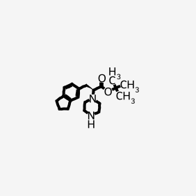 CC(C)(C)OC(=O)[C@H](Cc1ccc2c(c1)CCC2)N1CCNCC1